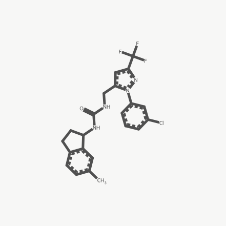 Cc1ccc2c(c1)C(NC(=O)NCc1cc(C(F)(F)F)nn1-c1cccc(Cl)c1)CC2